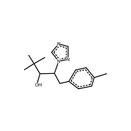 Cc1ccc(CC(C(O)C(C)(C)C)n2cncn2)cc1